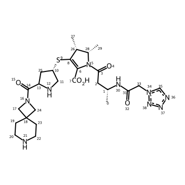 C[C@H](CC(=O)N1C(C(=O)O)=C(S[C@@H]2CNC(C(=O)N3CC4(CCNCC4)C3)C2)[C@H](C)[C@@H]1C)NC(=O)Cn1cnnn1